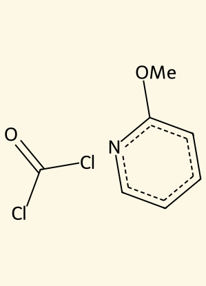 COc1ccccn1.O=C(Cl)Cl